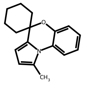 Cc1ccc2n1-c1ccccc1OC21CCCCC1